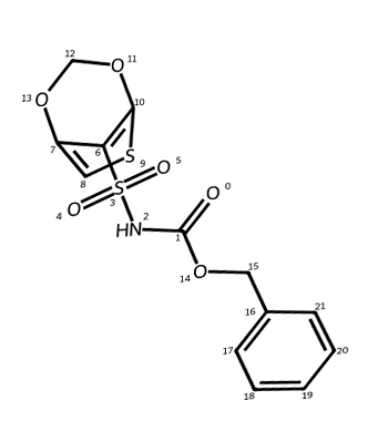 O=C(NS(=O)(=O)c1c2csc1OCO2)OCc1ccccc1